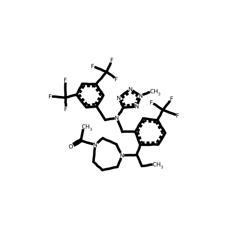 CCC(c1ccc(C(F)(F)F)cc1CN(Cc1cc(C(F)(F)F)cc(C(F)(F)F)c1)c1nnn(C)n1)N1CCCN(C(C)=O)CC1